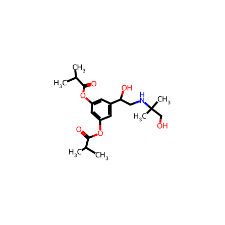 CC(C)C(=O)Oc1cc(OC(=O)C(C)C)cc(C(O)CNC(C)(C)CO)c1